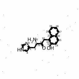 N[C@@H](Cc1c[nH]cn1)C(=O)Cc1c(O)ccc2ccccc12